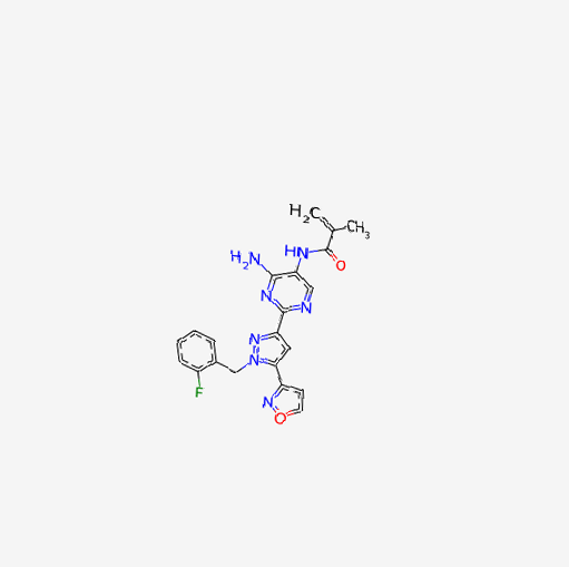 C=C(C)C(=O)Nc1cnc(-c2cc(-c3ccon3)n(Cc3ccccc3F)n2)nc1N